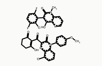 COc1ccc(-n2c(=O)c(C(=O)C3=C(O)CCCC3=O)nc3c(Cl)cccc32)cc1.Cn1c(=O)c(-c2c(F)ccc(F)c2Cl)c(O)c2ncccc21